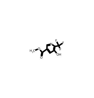 COC(=O)c1cnc(C(F)(F)F)c(O)c1